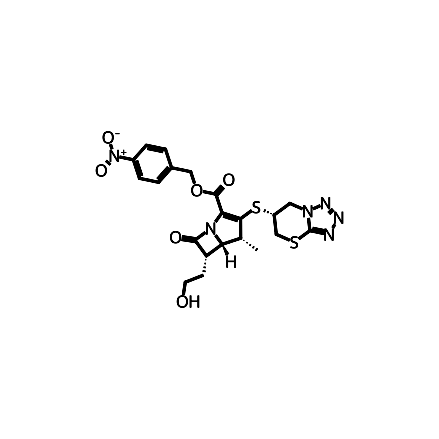 C[C@H]1C(S[C@H]2CSc3nnnn3C2)=C(C(=O)OCc2ccc([N+](=O)[O-])cc2)N2C(=O)[C@@H](CCO)[C@@H]12